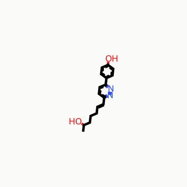 CC(O)CCC/C=C/c1ccc(-c2ccc(O)cc2)nn1